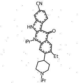 CCc1cc2c(=O)c3c4ccc(C#N)cc4[nH]c3n(C(C)C)c2cc1C1CCN(C(C)C)CC1